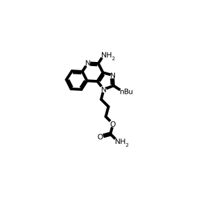 CCCCc1nc2c(N)nc3ccccc3c2n1CCCOC(N)=O